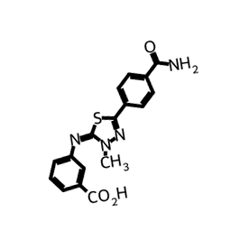 Cn1nc(-c2ccc(C(N)=O)cc2)s/c1=N/c1cccc(C(=O)O)c1